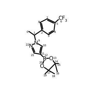 CC(c1ccc(C(F)(F)F)cc1)n1cc(B2OC(C)(C)C(C)(C)O2)cn1